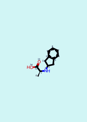 C[C@H](NC1Cc2ccccc2C1)C(=O)O